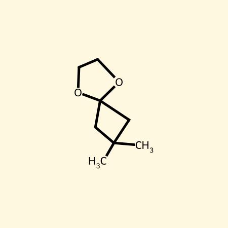 CC1(C)CC2(C1)OCCO2